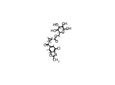 Cc1nc2c(Cl)cc(C(=O)[C@H]3C[C@@H]3C(=O)OCC3O[C@H](O)[C@H](O)[C@@H](O)[C@H]3O)cc2o1